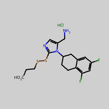 Cl.NCc1cnc(SSCCC(=O)O)n1C1CCc2c(F)cc(F)cc2C1